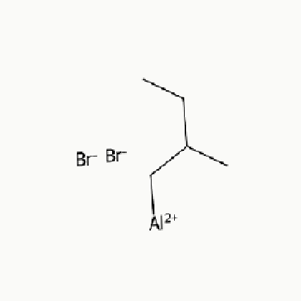 CCC(C)[CH2][Al+2].[Br-].[Br-]